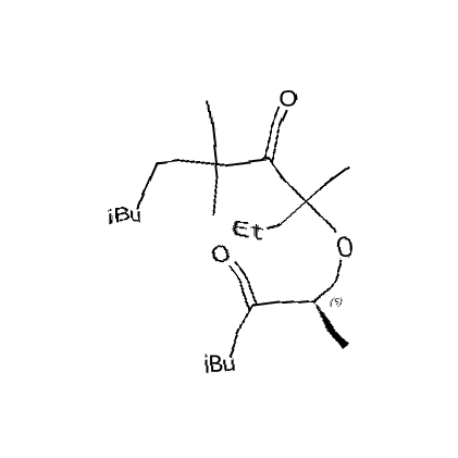 CCC(C)CC(C)(C)C(=O)C(C)(CC)O[C@@H](C)C(=O)C(C)CC